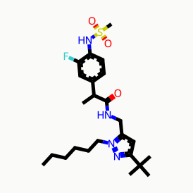 CCCCCCn1nc(C(C)(C)C)cc1CNC(=O)C(C)c1ccc(NS(C)(=O)=O)c(F)c1